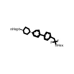 CCCCCCC[C@H]1CC[C@H](c2ccc(-c3ccc(CC(F)(F)CCCCCC)cc3)cc2)CC1